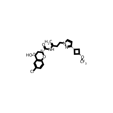 C=C(CCn1ccc([C@H]2C[C@@H](OC(F)(F)F)C2)n1)NC(=O)[C@H]1C[C@@H](O)c2cc(Cl)ccc2O1